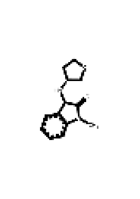 CN1C(=O)C(N[C@H]2CCOC2)c2ccccc21